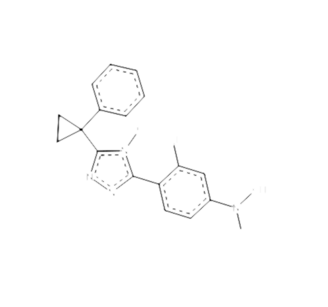 CN(C)c1ccc(-c2nnc(C3(c4ccccc4)CC3)n2C)c(Cl)c1